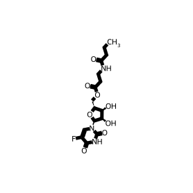 CCCC(=O)NCCC(=O)OC[C@H]1O[C@@H](n2cc(F)c(=O)[nH]c2=O)[C@H](O)[C@@H]1O